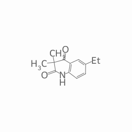 CCc1ccc2c(c1)C(=O)C(C)(C)C(=O)N2